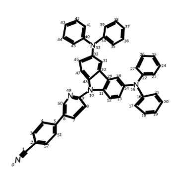 N#Cc1ccc(-c2ccc(-n3c4ccc(N(c5ccccc5)c5ccccc5)cc4c4cc(N(c5ccccc5)c5ccccc5)ccc43)nc2)cc1